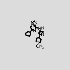 CN1CCC(n2cc(Nc3nc(C4CCCCC4)cn4ncnc34)cn2)CC1